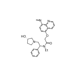 C=Nc1ccc(OCC(=O)N(CC)C(CN2CC[C@H](O)C2)c2ccccc2)c2cccnc12